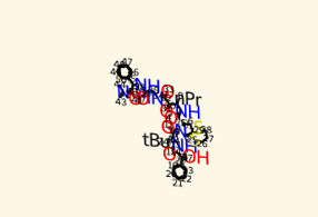 CCCC(NC(=O)[C@@H]1CC2(CN1C(=O)[C@@H](NC(=O)[C@@H](O)c1ccccc1)C(C)(C)C)SCCCS2)C(=O)C(=O)NCC(=O)NC(C(=O)N(C)C)c1ccccc1